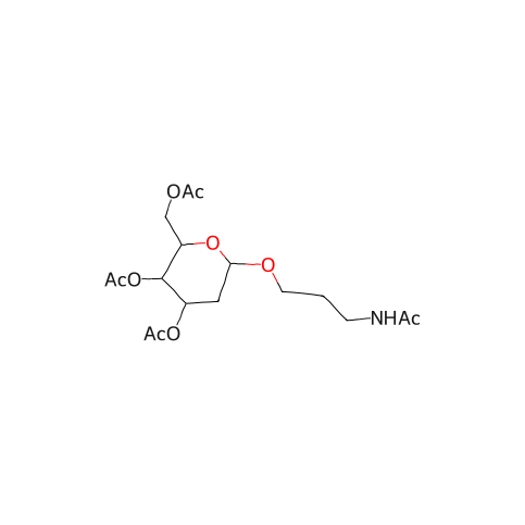 CC(=O)NCCCOC1CC(OC(C)=O)C(OC(C)=O)C(COC(C)=O)O1